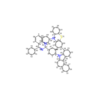 C1=CC2N=C(c3ccc(-n4c5ccc6ccccc6c5c5cccc(-c6ccc7c(c6)Sc6ccccc6N7c6ccccc6)c54)cc3)N=C(c3ccccc3)C2C=C1